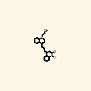 CCN1C(Cl)=C/C(=C\C=C\c2cc[n+](CCO)c3ccccc23)c2ccccc21